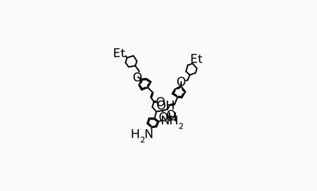 CCC1CCC(COc2ccc(C=CC(=O)CC(c3ccc(N)cc3N)C(O)(O)C(=O)C=Cc3ccc(OCC4CCC(CC)CC4)cc3)cc2)CC1